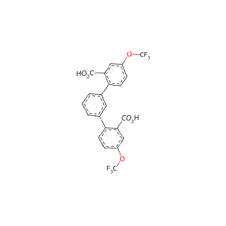 O=C(O)c1cc(OC(F)(F)F)ccc1-c1cccc(-c2ccc(OC(F)(F)F)cc2C(=O)O)c1